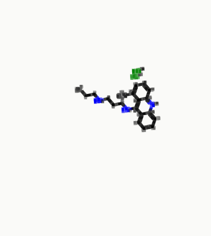 CC(C)CCNCCCNc1c2ccccc2nc2cccc([N+](=O)[O-])c12.Cl.Cl